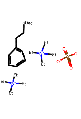 CCCCCCCCCCCCc1ccccc1.CC[N+](CC)(CC)CC.CC[N+](CC)(CC)CC.O=S(=O)([O-])[O-]